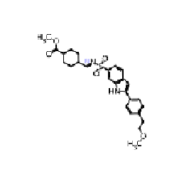 COCCc1ccc(-c2cc3ccc(S(=O)(=O)/N=C/C4CCC(C(=O)OC)CC4)cc3[nH]2)cc1